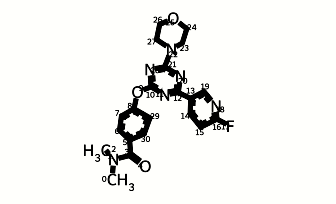 CN(C)C(=O)c1ccc(Oc2nc(-c3ccc(F)nc3)nc(N3CCOCC3)n2)cc1